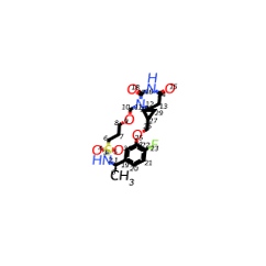 C[C@@H](NS(=O)(=O)CCCOCN1CCC(=O)NC1=O)c1ccc(F)c(OCC2CC2)c1